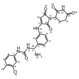 Cc1ccc(NC(=O)N[C@@H](N)c2cccc(NC3=CC(=O)N(C4CCC(=O)NC4=O)C3=O)c2)cc1Cl